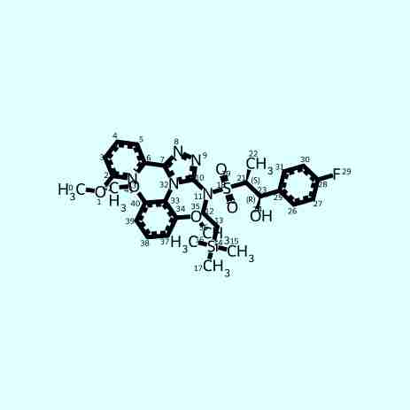 COc1cccc(-c2nnc(N(CC[Si](C)(C)C)S(=O)(=O)[C@@H](C)[C@H](O)c3ccc(F)cc3)n2-c2c(OC)cccc2OC)n1